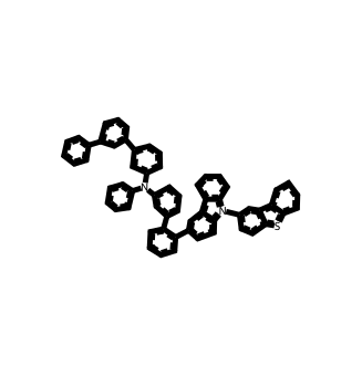 c1ccc(-c2cccc(-c3cccc(N(c4ccccc4)c4cccc(-c5ccccc5-c5ccc6c(c5)c5ccccc5n6-c5ccc6sc7ccccc7c6c5)c4)c3)c2)cc1